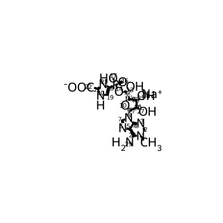 CN1CN=c2c(ncn2[C@@H]2O[C@H](C(O)OP(=O)(O)c3c[nH]c(C(=O)[O-])n3)[C@@H](O)[C@H]2O)=C1N.[Na+]